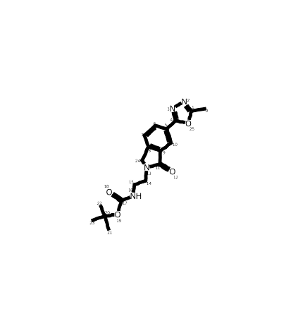 Cc1nnc(-c2ccc3c(c2)C(=O)N(CCNC(=O)OC(C)(C)C)C3)o1